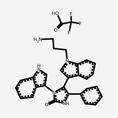 NCCCn1cc(-c2c(-c3ccccc3)[nH]c(=O)n2-c2c[nH]c3ccccc23)c2ccccc21.O=C(O)C(F)(F)F